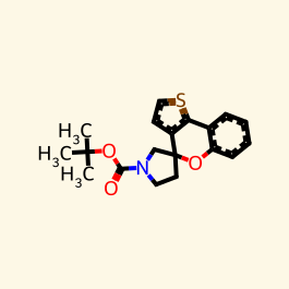 CC(C)(C)OC(=O)N1CCC2(C1)Oc1ccccc1-c1sccc12